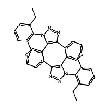 CCc1cccc(CC)c1-n1nnc2c1-c1ccccc1-c1nnn(-c3c(CC)cccc3CC)c1-c1ccccc1-2